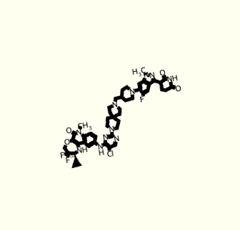 Cn1nc(C2CCC(=O)NC2=O)c2cc(F)c(N3CCC(CN4CCC5(CC4)CCN(c4ncc(Cl)c(Nc6ccc7c(c6)c6c(c(=O)n7C)OCC(F)(F)[C@H](C7CC7)N6)n4)CC5)CC3)cc21